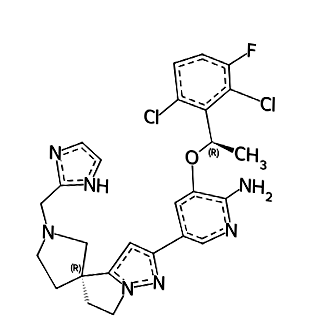 C[C@@H](Oc1cc(-c2cc3n(n2)CC[C@@]32CCN(Cc3ncc[nH]3)C2)cnc1N)c1c(Cl)ccc(F)c1Cl